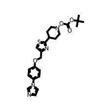 CC(C)(C)OC(=O)ON1CCC(c2nc(COc3ccc(-n4ccnc4)cc3)cs2)CC1